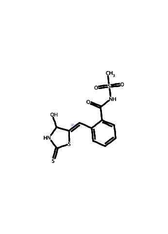 CS(=O)(=O)NC(=O)c1ccccc1/C=C1\SC(=S)NC1O